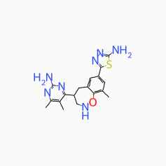 Cc1cc(-c2nnc(N)s2)cc2c1ONCC(c1nc(N)nc(C)c1C)C2